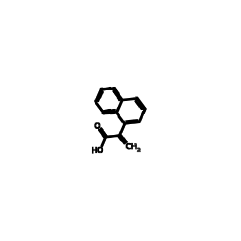 C=C(C(=O)O)c1cccc2ccccc12